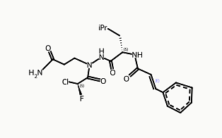 CC(C)C[C@H](NC(=O)/C=C/c1ccccc1)C(=O)NN(CCC(N)=O)C(=O)[C@@H](F)Cl